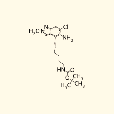 Cn1cc2c(C#CCCCCNC(=O)OC(C)(C)C)c(N)c(Cl)cc2n1